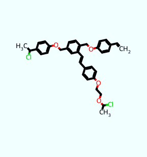 C=Cc1ccc(OCc2ccc(COc3ccc(C(C)Cl)cc3)cc2C=Cc2ccc(OCCOC(C)Cl)cc2)cc1